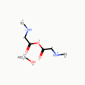 CCNCC(=O)OC(=O)CNCC.O=S(=O)(O)O